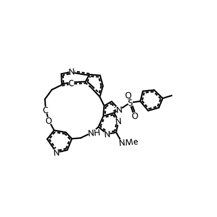 CNc1nc2c3c(cn(S(=O)(=O)c4ccc(C)cc4)c3n1)-c1ccc3ncc(cc3c1)CCCOc1cncc(c1)CN2